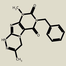 CC1=NNc2nc3c(c(=O)n(Cc4ccccc4)c(=O)n3C)n2C1